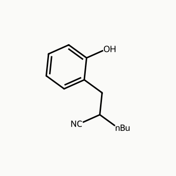 CCCCC(C#N)Cc1ccccc1O